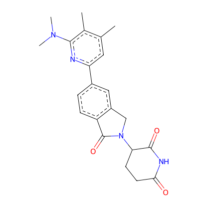 Cc1cc(-c2ccc3c(c2)CN(C2CCC(=O)NC2=O)C3=O)nc(N(C)C)c1C